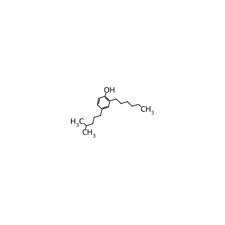 CCCCCCc1cc(CCCC(C)C)ccc1O